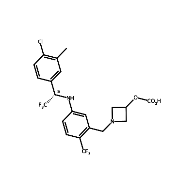 Cc1cc([C@H](Nc2ccc(C(F)(F)F)c(CN3CC(OC(=O)O)C3)c2)C(F)(F)F)ccc1Cl